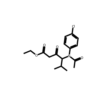 CCOC(=O)CC(=O)C(C(C)C)N(C(C)=O)c1ccc(Cl)cc1